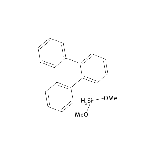 CO[SiH2]OC.c1ccc(-c2ccccc2-c2ccccc2)cc1